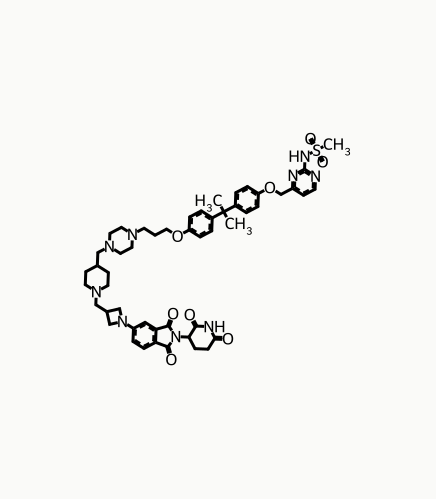 CC(C)(c1ccc(OCCCN2CCN(CC3CCN(CC4CN(c5ccc6c(c5)C(=O)N(C5CCC(=O)NC5=O)C6=O)C4)CC3)CC2)cc1)c1ccc(OCc2ccnc(NS(C)(=O)=O)n2)cc1